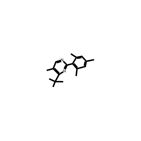 Cc1cc(C)c(-c2ncc(C)c(C(C)(C)C)n2)c(C)c1